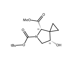 COC(=O)[C@H]1N(C(=O)OC(C)(C)C)C[C@@H](O)C12CC2